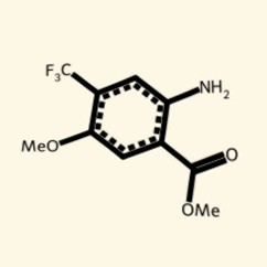 COC(=O)c1cc(OC)c(C(F)(F)F)cc1N